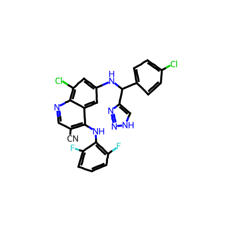 N#Cc1cnc2c(Cl)cc(NC(c3ccc(Cl)cc3)c3c[nH]nn3)cc2c1Nc1c(F)cccc1F